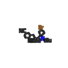 COc1ccc(C#N)cc1C=C(C#N)c1cn(C(C)(C)C)c2ccc(Br)cc12